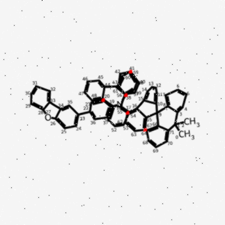 CC1(C)c2ccccc2C2(c3ccccc3-c3c(N(c4ccc(-c5ccc6oc7ccccc7c6c5)cc4)c4ccccc4-c4ccccc4-c4ccccc4-c4ccccc4)cccc32)c2ccccc21